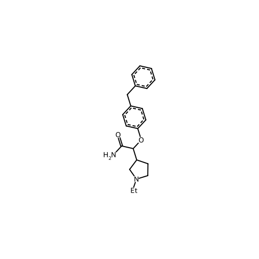 CCN1CCC(C(Oc2ccc(Cc3ccccc3)cc2)C(N)=O)C1